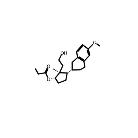 CCC(=O)O[C@H]1CC[C@@H](C2CCc3cc(OC)ccc3C2)[C@]1(C)CCO